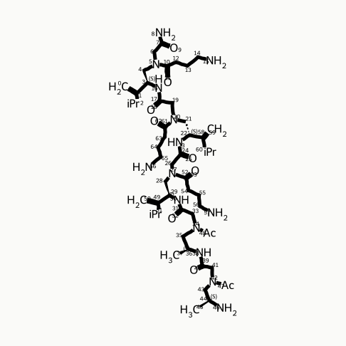 C=C(C(C)C)[C@@H](CN(CC(N)=O)C(=O)CCCN)NC(=O)CN(C[C@@H](NC(=O)CN(C[C@@H](NC(=O)CN(C[C@H](C)NC(=O)CN(C[C@H](C)N)C(C)=O)C(C)=O)C(=C)C(C)C)C(=O)CCCN)C(=C)C(C)C)C(=O)CCCN